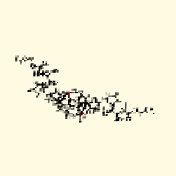 CC(C)[C@H](NC(=O)OCC(F)(F)F)C(=O)N1CCC[C@H]1c1nc2cc(C3=CC4=CC[C@@H]3C[C@@H](C)c3ccc(c(-c5ccc6[nH]c([C@@H]7CCCN7C(=O)[C@@H](NC(=O)OCC(F)(F)F)C(C)C)nc6c5)c3)CC4)ccc2[nH]1